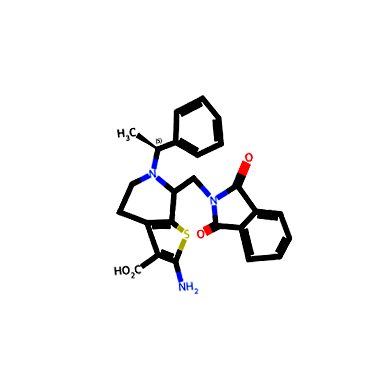 C[C@@H](c1ccccc1)N1CCc2c(sc(N)c2C(=O)O)C1CN1C(=O)c2ccccc2C1=O